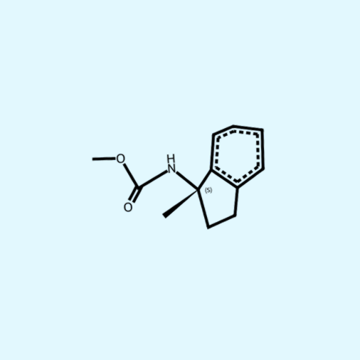 COC(=O)N[C@@]1(C)CCc2ccccc21